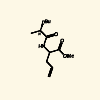 C=CCC(NC(=O)[C@@H](C)CCCC)C(=O)OC